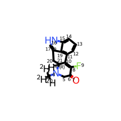 [2H]C([2H])([2H])N1CC(=O)C(F)=C2c3cccc4[nH]cc(c34)C[C@H]21